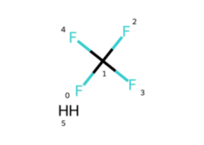 FC(F)(F)F.[HH]